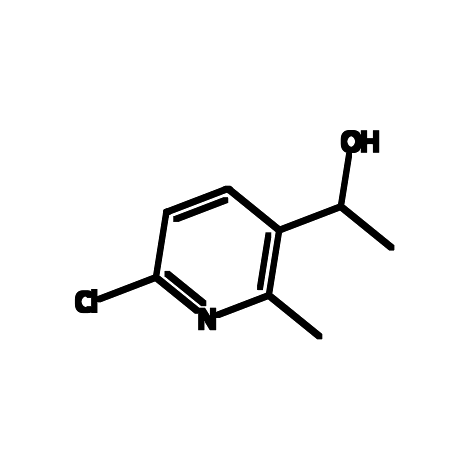 Cc1nc(Cl)ccc1C(C)O